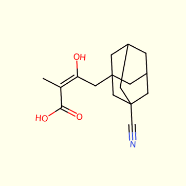 CC(C(=O)O)=C(O)CC12CC3CC(CC(C#N)(C3)C1)C2